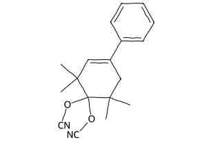 CC1(C)C=C(c2ccccc2)CC(C)(C)C1(OC#N)OC#N